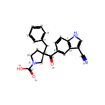 N#Cc1c[nH]c2ccc(C(=O)C3(Cc4ccccc4)CCN(C(=O)O)C3)cc12